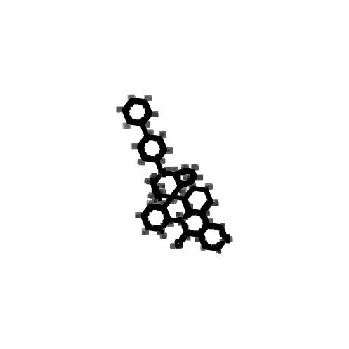 O=c1c2ccncc2c2c3n1-c1ncccc1C1(C=3CCC=2)c2ccccc2N(c2ccc(-c3ccccc3)cc2)c2ccccc21